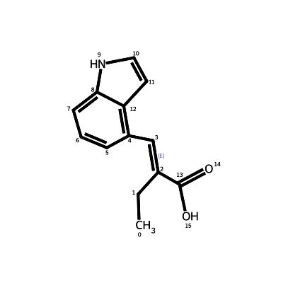 CC/C(=C\c1cccc2[nH]ccc12)C(=O)O